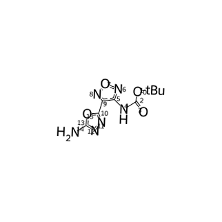 CC(C)(C)OC(=O)Nc1nonc1-c1nnc(N)o1